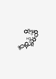 CC1CC2(Cn3cc(-c4ccc(N5CCc6cccc(C(=O)Nc7nc8ccccc8s7)c6C5)nc4C(=O)O)cn3)CC=CC(N3CCS(=O)(=O)CC3)(C1)C2